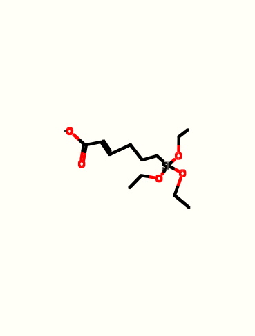 CCO[Si](CCCC=CC([O])=O)(OCC)OCC